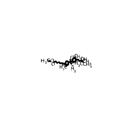 CCOC(=O)CCCCCOc1ccc(C(CC)(CC)c2ccc(CCC(O)C(C)(C)C)c(C)c2)cc1C